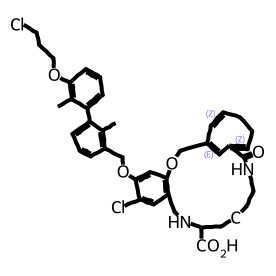 Cc1c(COc2cc3c(cc2Cl)CNC(C(=O)O)CCCCNC(=O)C2=C\CC\C=C/C(=C\2)CO3)cccc1-c1cccc(OCCCCl)c1C